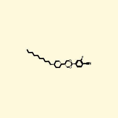 CCCCCCCCCC[C@H]1CC[C@H]([C@H]2CO[C@H](c3ccc(C#N)c(F)c3)OC2)CC1